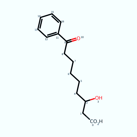 O=C(O)CC(O)CCCCCC(=O)c1ccccc1